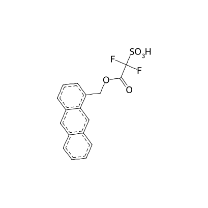 O=C(OCc1cccc2cc3ccccc3cc12)C(F)(F)S(=O)(=O)O